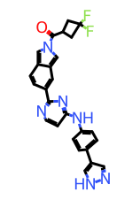 O=C(C1CC(F)(F)C1)n1cc2ccc(-c3nccc(Nc4ccc(-c5cn[nH]c5)cc4)n3)cc2c1